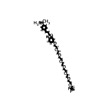 CN(C)c1ccc(/C=C/c2nc3ccc(OCCOCCOCCOCCOCCOCCOCCOCC(F)(F)F)cc3o2)cc1